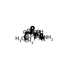 CO[C@@H](C)COC(=O)[C@H](C)N[P@](=O)(Oc1ccccc1)OC1[C@@]2(CF)O[C@@H](c3ccc4c(N)ncnn34)[C@H](O)[C@@]12O